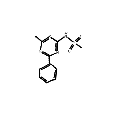 Cc1nc(NS(C)(=O)=O)nc(-c2ccccc2)n1